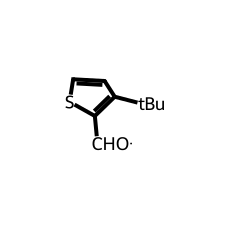 CC(C)(C)c1ccsc1[C]=O